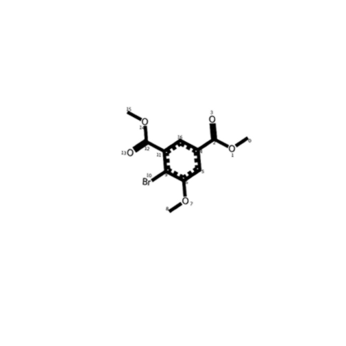 COC(=O)c1cc(OC)c(Br)c(C(=O)OC)c1